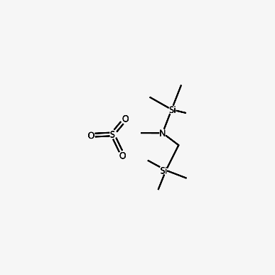 CN(C[Si](C)(C)C)[Si](C)(C)C.O=S(=O)=O